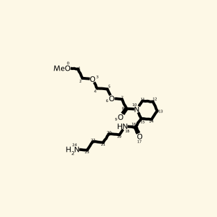 COCCOCCOCC(=O)N1CCCCC1C(=O)NCCCCCN